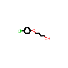 OCCCCOc1ccc(Cl)cc1